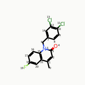 Cc1cc(=O)n(Cc2ccc(Cl)c(Cl)c2)c2ccc(F)cc12